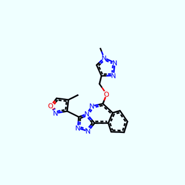 Cc1conc1-c1nnc2c3ccccc3c(OCc3cn(C)nn3)nn12